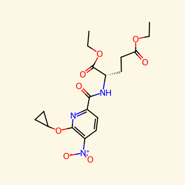 CCOC(=O)CC[C@H](NC(=O)c1ccc([N+](=O)[O-])c(OC2CC2)n1)C(=O)OCC